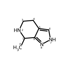 CC1NCCc2c[nH]nc21